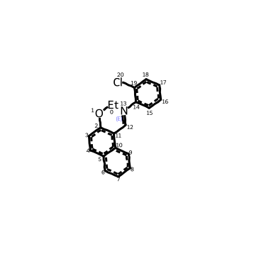 CCOc1ccc2ccccc2c1/C=N/c1ccccc1Cl